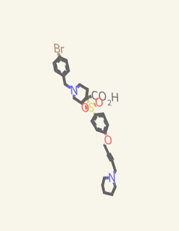 O=C(O)C1(S(=O)(=O)c2ccc(OCC#CCN3CCCCC3)cc2)CCN(Cc2ccc(Br)cc2)CC1